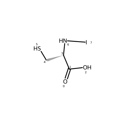 O=C(O)[C@H](CS)NI